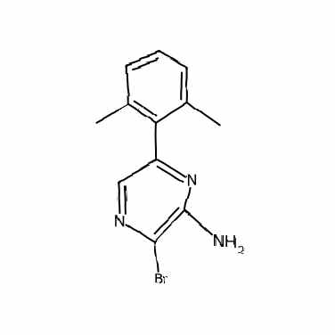 Cc1cccc(C)c1-c1cnc(Br)c(N)n1